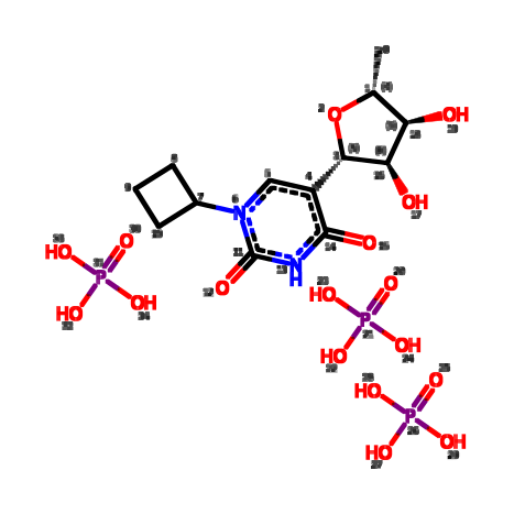 C[C@H]1O[C@@H](c2cn(C3CCC3)c(=O)[nH]c2=O)[C@H](O)[C@@H]1O.O=P(O)(O)O.O=P(O)(O)O.O=P(O)(O)O